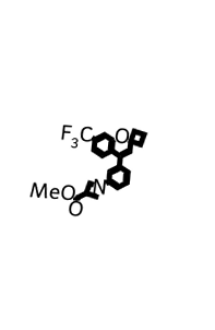 COC(=O)C1CN(c2cccc(C3=CC4(CCC4)Oc4cc(C(F)(F)F)ccc43)c2)C1